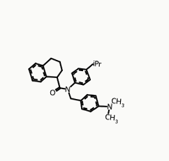 CC(C)c1ccc(N(Cc2ccc(N(C)C)cc2)C(=O)C2CCCc3ccccc32)cc1